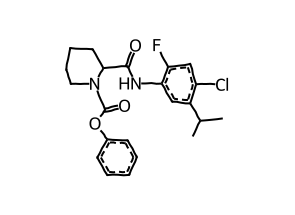 CC(C)c1cc(NC(=O)C2CCCCN2C(=O)Oc2ccccc2)c(F)cc1Cl